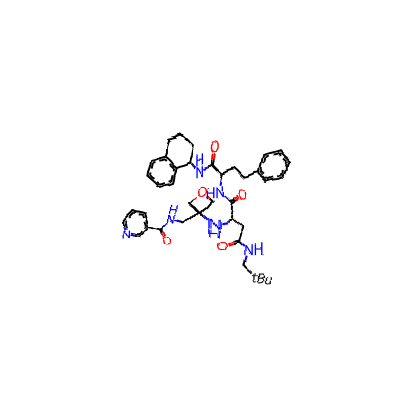 CC(C)(C)CNC(=O)CC(NC1(CNC(=O)c2cccnc2)COC1)C(=O)NC(CCc1ccccc1)C(=O)N[C@@H]1CCCc2ccccc21